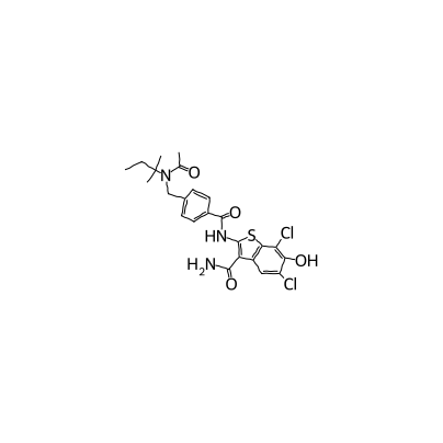 CCC(C)(C)N(Cc1ccc(C(=O)Nc2sc3c(Cl)c(O)c(Cl)cc3c2C(N)=O)cc1)C(C)=O